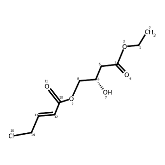 CCOC(=O)C[C@H](O)COC(=O)/C=C/CCl